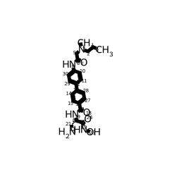 CCCN(C)CC(=O)Nc1ccc(-c2ccc(C(=O)N[C@@H](CN)C(=O)NO)cc2)cc1